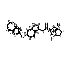 CC(=O)N1[C@@H]2CC[C@H]1C[C@@H](NCc1coc3cc(Oc4nc5ncccc5s4)ccc13)C2